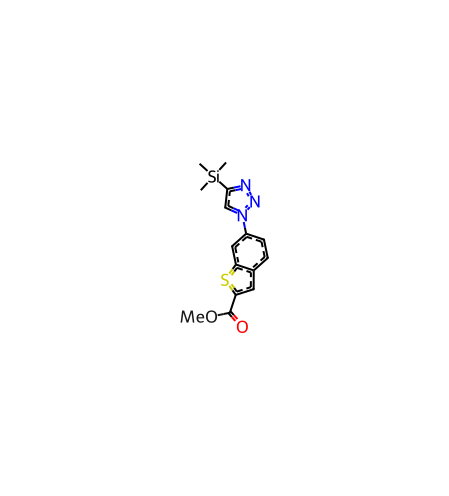 COC(=O)c1cc2ccc(-n3cc([Si](C)(C)C)nn3)cc2s1